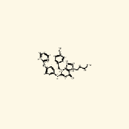 O=c1nc(Nc2ccc(Oc3ncccn3)cc2)n(Cc2ccc(Cl)cc2)c2ncn(CCCF)c12